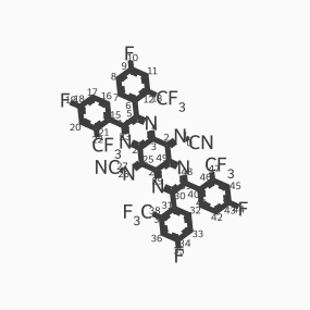 N#CN=C1c2nc(-c3ccc(F)cc3C(F)(F)F)c(-c3ccc(F)cc3C(F)(F)F)nc2C(=NC#N)c2nc(-c3ccc(F)cc3C(F)(F)F)c(-c3ccc(F)cc3C(F)(F)F)nc21